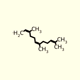 [CH2]C=C(C)CCC=C(C)CCC=C(C)C